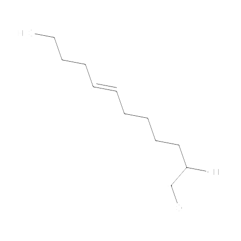 CCCCC=CCCCCC(C)C[O]